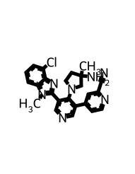 Cn1c(-c2cncc(-c3ccnc(C#N)c3)c2N2CCC(C)(N)C2)nc2c(Cl)cccc21